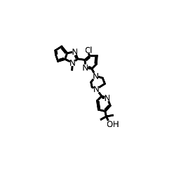 Cn1c(-c2nc(N3CCN(c4ccc(C(C)(C)O)cn4)CC3)ccc2Cl)nc2ccccc21